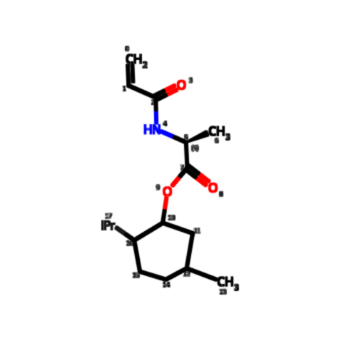 C=CC(=O)N[C@@H](C)C(=O)OC1CC(C)CCC1C(C)C